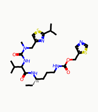 CC[C@@H](CCCNC(=O)OCc1cncs1)NC(=O)C(NC(=O)N(C)Cc1csc(C(C)C)n1)C(C)C